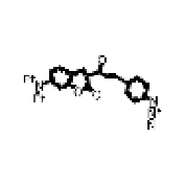 CCN(CC)c1ccc2cc(C(=O)/C=C/c3ccc(N=[N+]=[N-])cc3)c(=O)oc2c1